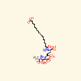 C[C@H](NC(=O)[C@H](NC(=O)CC[C@H](NC(=O)CCCCCCCCCCCCCCCCCCC(=O)O)C(=O)O)C(=O)O)C(=O)O